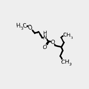 CCCC(CCC)COC(=O)NCCCOC